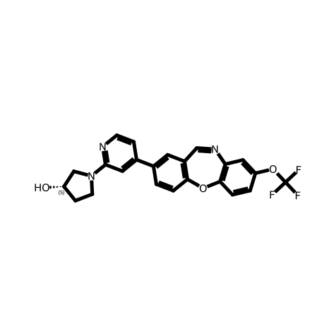 O[C@H]1CCN(c2cc(-c3ccc4c(c3)C=Nc3cc(OC(F)(F)F)ccc3O4)ccn2)C1